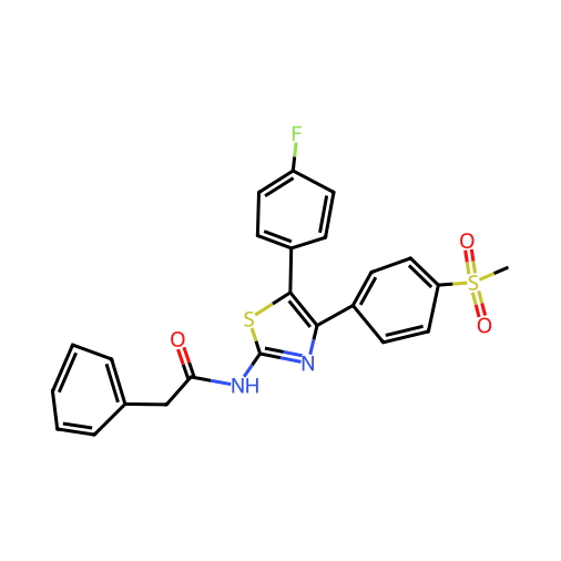 CS(=O)(=O)c1ccc(-c2nc(NC(=O)Cc3ccccc3)sc2-c2ccc(F)cc2)cc1